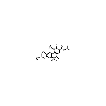 CC(C)OC(=O)c1cc2c(n(C3CC3)c1=O)-c1cc(Cl)c(OC(C)C3CC3)cc1S(=O)(=O)C2C